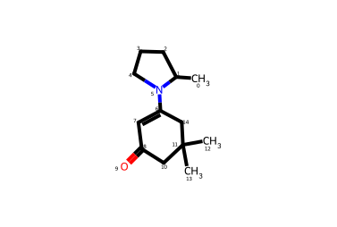 CC1CCCN1C1=CC(=O)CC(C)(C)C1